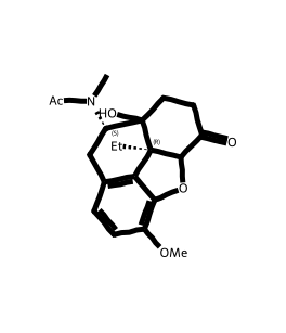 CC[C@@]12c3c4ccc(OC)c3OC1C(=O)CCC2(O)[C@@H](N(C)C(C)=O)C4